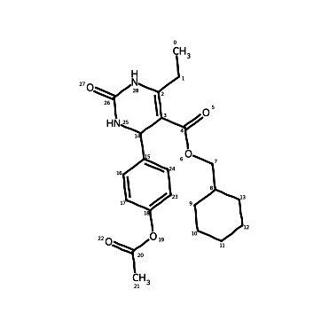 CCC1=C(C(=O)OCC2CCCCC2)C(c2ccc(OC(C)=O)cc2)NC(=O)N1